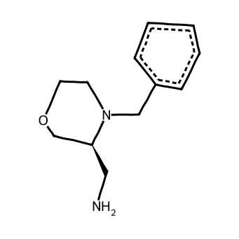 NC[C@H]1COCCN1Cc1ccccc1